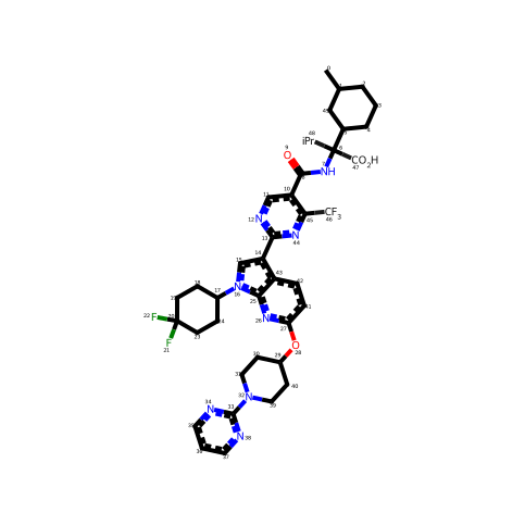 CC1CCCC(C(NC(=O)c2cnc(-c3cn(C4CCC(F)(F)CC4)c4nc(OC5CCN(c6ncccn6)CC5)ccc34)nc2C(F)(F)F)(C(=O)O)C(C)C)C1